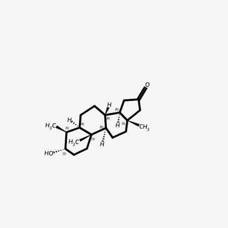 C[C@H]1[C@H]2CC[C@@H]3[C@H]4CC(=O)C[C@]4(C)CC[C@H]3[C@]2(C)CC[C@@H]1O